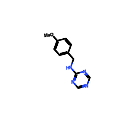 COc1ccc(CNc2ncncn2)cc1